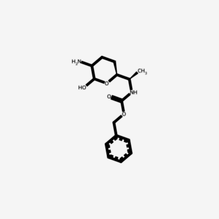 C[C@@H](NC(=O)OCc1ccccc1)[C@@H]1CCC(N)C(O)O1